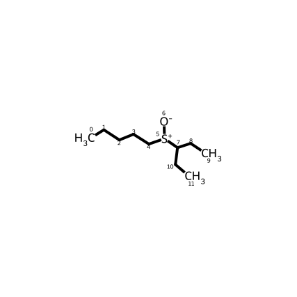 CCCCC[S+]([O-])C(CC)CC